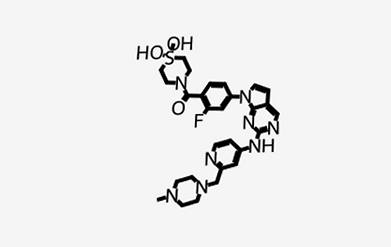 CN1CCN(Cc2cc(Nc3ncc4ccn(-c5ccc(C(=O)N6CCS(O)(O)CC6)c(F)c5)c4n3)ccn2)CC1